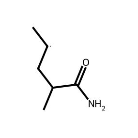 C[CH]CC(C)C(N)=O